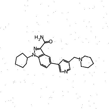 NC(=O)c1nn(C2CCCCC2)c2ccc(-c3cncc(CN4CCCCC4)c3)cc12